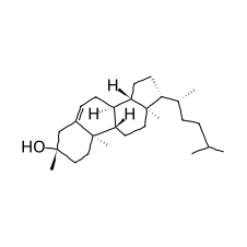 CC(C)CC[C@@H](C)[C@H]1CC[C@H]2[C@@H]3CC=C4C[C@@](C)(O)CC[C@]4(C)[C@H]3CC[C@]12C